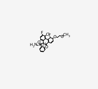 COCCOC1C=CC(C(N)=O)=C(c2c(Cl)c(F)cc3c2C[C@@](CN)(c2ccccc2)O3)C1F